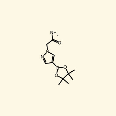 CC1(C)OB(c2cnn(CC(N)=O)c2)OC1(C)C